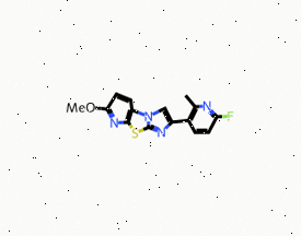 COc1ccc2c(n1)sc1nc(-c3ccc(F)nc3C)cn12